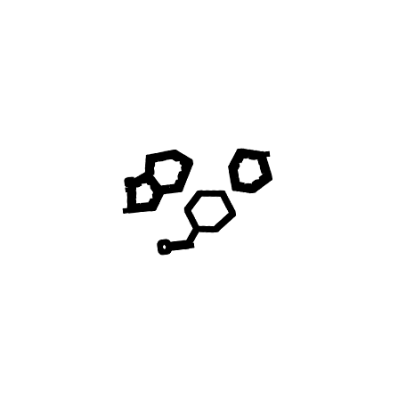 O=[C]C1CCCCC1.[c]1cc2ccccc2s1.[c]1ccccc1